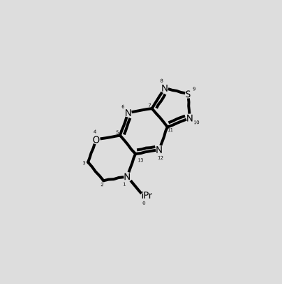 CC(C)N1CCOc2nc3nsnc3nc21